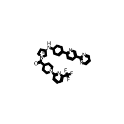 O=C(C1CCN(c2cccc(C(F)(F)F)n2)CC1)N1CC[C@H](NC2CC=C(c3ccc(-c4ncccn4)cn3)CC2)C1